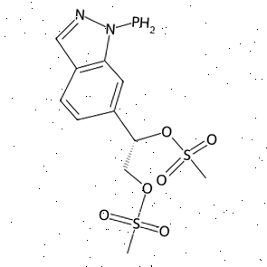 CS(=O)(=O)OC[C@@H](OS(C)(=O)=O)c1ccc2cnn(P)c2c1